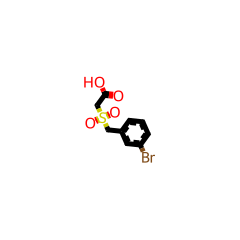 O=C(O)CS(=O)(=O)Cc1cccc(Br)c1